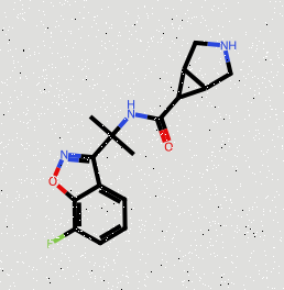 CC(C)(NC(=O)C1C2CNCC21)c1noc2c(F)cccc12